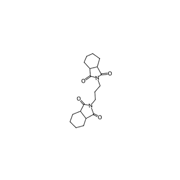 O=C1C2CCCCC2C(=O)N1CCCN1C(=O)C2CCCCC2C1=O